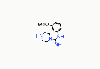 COc1cccc(NC(=N)N2CCNCC2)c1